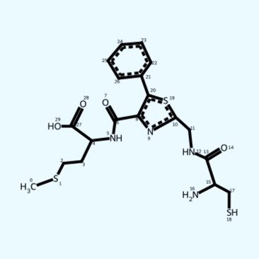 CSCCC(NC(=O)c1nc(CNC(=O)C(N)CS)sc1-c1ccccc1)C(=O)O